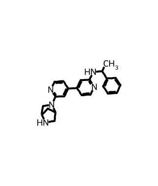 CC(Nc1cc(-c2ccnc(N3CC4CC3CN4)c2)ccn1)c1ccccc1